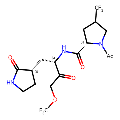 CC(=O)N1CC(C(F)(F)F)C[C@H]1C(=O)N[C@@H](C[C@@H]1CCNC1=O)C(=O)COC(F)(F)F